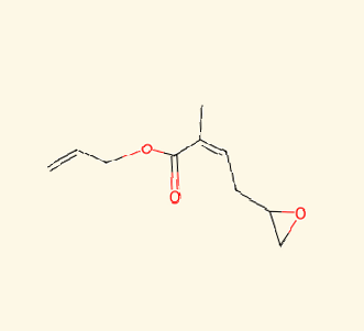 C=CCOC(=O)C(C)=CCC1CO1